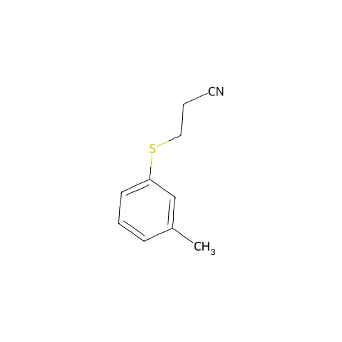 Cc1cccc(SCCC#N)c1